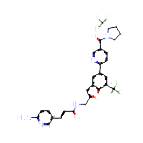 Nc1ccc(C=CC(=O)NCc2cc3cc(-c4ccc(C(=O)N5CCC[C@H]5C(F)(F)F)cn4)cc(C(F)(F)F)c3o2)cn1